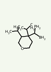 BC(P)C1(C(C)C)CCOCC1C(C)C